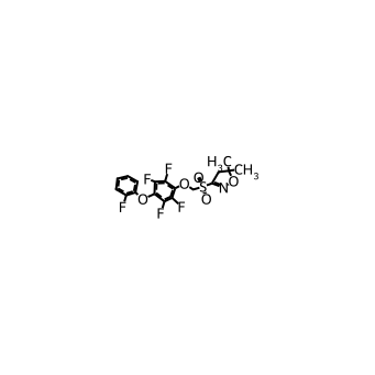 CC1(C)CC(S(=O)(=O)COc2c(F)c(F)c(Oc3ccccc3F)c(F)c2F)=NO1